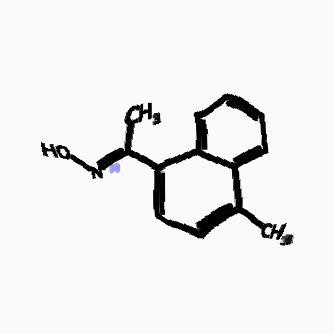 C/C(=N\O)c1ccc(C)c2ccccc12